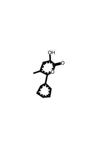 Cc1cc(O)c(=O)oc1-c1ccccc1